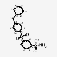 NS(=O)(=O)c1cccc(S(=O)(=O)c2[c]cc(Cc3cccnc3)cc2)c1